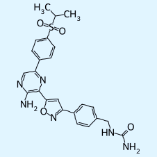 CC(C)S(=O)(=O)c1ccc(-c2cnc(N)c(-c3cc(-c4ccc(CNC(N)=O)cc4)no3)n2)cc1